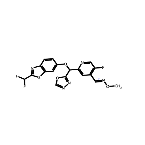 CO/N=C/c1cc(C(Oc2ccc3nc(C(F)F)sc3c2)c2nnco2)ncc1F